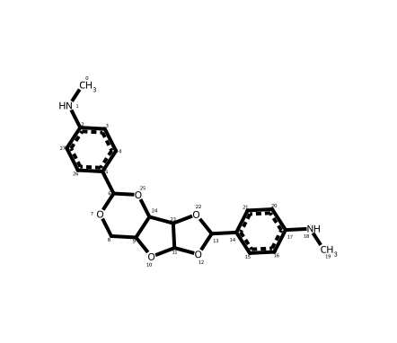 CNc1ccc(C2OCC3OC4OC(c5ccc(NC)cc5)OC4C3O2)cc1